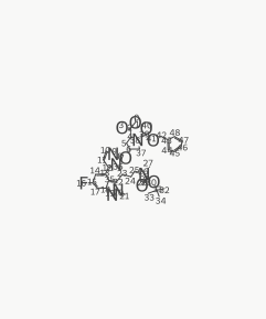 COC(=O)[C@@H]1C[C@H](Oc2nccc(-c3cc(F)cc4nn(C)c(CCCN(C)C(=O)OC(C)(C)C)c34)n2)CN1C(=O)OCc1ccccc1